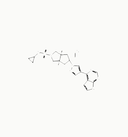 N#CC[C@@]1(n2cc(-c3ncnc4[nH]ccc34)cn2)C[C@H]2CN(S(=O)(=O)NC3CC3)C[C@H]2C1